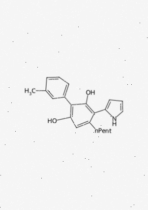 CCCCCc1cc(O)c(-c2cccc(C)c2)c(O)c1-c1ccc[nH]1